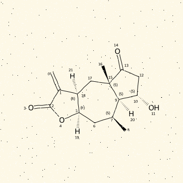 C=C1C(=O)O[C@@H]2C[C@H](C)[C@@H]3[C@@H](O)CC(=O)[C@@]3(C)C[C@H]12